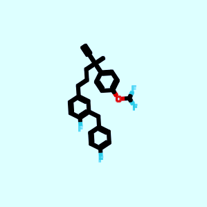 C#CC(C)(CCCc1ccc(F)c(Cc2ccc(F)cc2)c1)c1ccc(OC(F)F)cc1